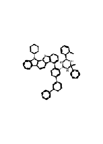 CC1C=CC=CC1C1N[C@@H](C2=C(C3=CCCC4=C3C3C=CC5c6ccccc6N(C6C=CCCC6)C5C3O4)CCC(C3=CC(c4ccccc4)CC=C3)=C2)NC(C)(c2ccccc2)N1